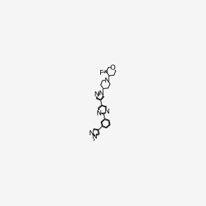 Cn1cc(-c2cccc(-c3ncc(-c4cnn(C5CCN(C6CCOC[C@@H]6F)CC5)c4)cn3)c2)cn1